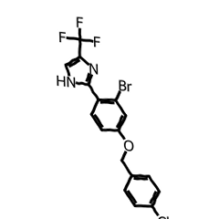 FC(F)(F)c1c[nH]c(-c2ccc(OCc3ccc(Cl)cc3)cc2Br)n1